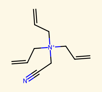 C=CC[N+](CC#N)(CC=C)CC=C